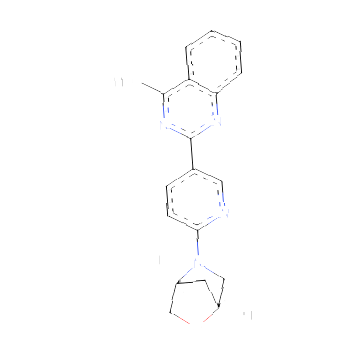 Cc1nc(-c2ccc(N3C[C@@H]4C[C@H]3CO4)nc2)nc2ccccc12